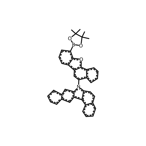 CC1(C)OB(c2cccc3c2oc2c4ccccc4c(-n4c5cc6ccccc6cc5c5c6ccccc6ccc54)cc32)OC1(C)C